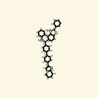 c1ccc(C2Nc3c(ccc4c3-c3ccccc3NC4c3ccc(-c4ccc(-c5cn6ccccc6n5)cc4)cc3)O2)cc1